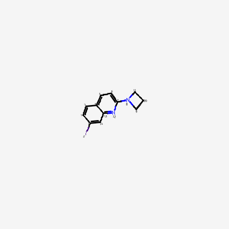 Ic1ccc2ccc(N3CCC3)nc2c1